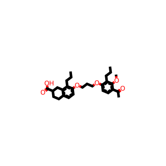 CCCc1c(OCCCOc2ccc(C(C)=O)c(OC)c2CCC)ccc2c1CC(C(=O)O)CC2